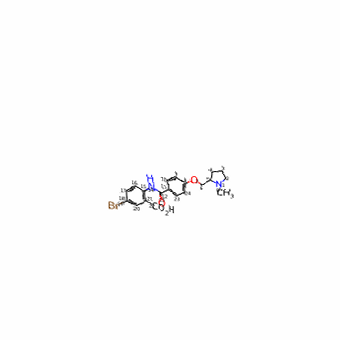 CN1CCCC1COc1ccc(C(=O)Nc2ccc(Br)cc2C(=O)O)cc1